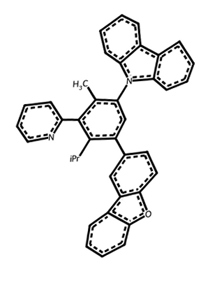 Cc1c(-n2c3ccccc3c3ccccc32)cc(-c2ccc3oc4ccccc4c3c2)c(C(C)C)c1-c1ccccn1